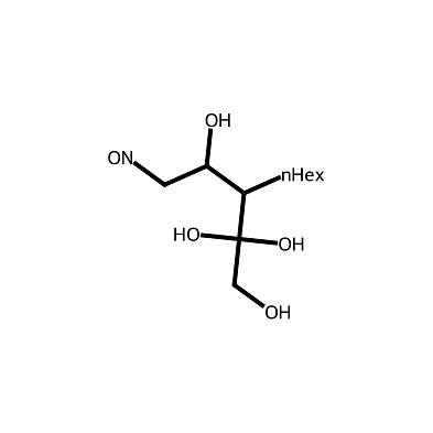 CCCCCCC(C(O)CN=O)C(O)(O)CO